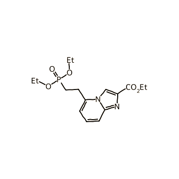 CCOC(=O)c1cn2c(CCP(=O)(OCC)OCC)cccc2n1